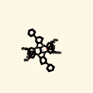 CC(C)(C)c1cc(N2/C(=C3/N(c4cc(C(C)(C)C)nc(C(C)(C)C)c4)c4ccc(-c5ccccc5)cc4N3c3cc(C(C)(C)C)nc(C(C)(C)C)c3)N(c3cc(C(C)(C)C)nc(C(C)(C)C)c3)c3cc(-c4ccccc4)ccc32)cc(C(C)(C)C)n1